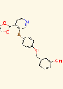 Oc1cccc(COc2ccc(Sc3cnccc3C3OCCO3)cc2)c1